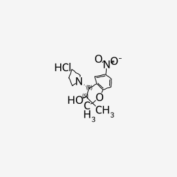 CC1(C)Oc2ccc([N+](=O)[O-])cc2[C@@H](N2CCCC2)[C@@H]1O.Cl